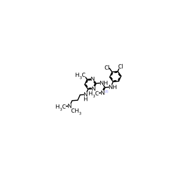 C/N=C(/Nc1ccc(Cl)c(Cl)c1)Nc1nc(C)cc(NCCCN(C)C)n1